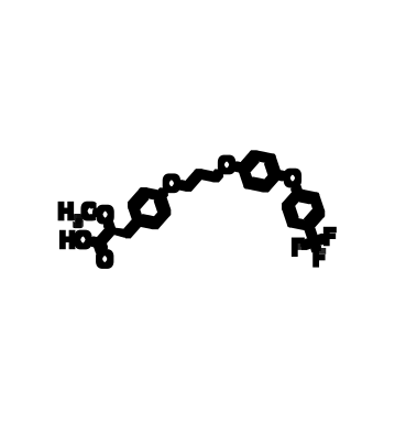 CO[C@@H](Cc1ccc(OCCCOc2ccc(Oc3ccc(C(F)(F)F)cc3)cc2)cc1)C(=O)O